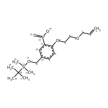 C=CCOCCOc1ccc(CO[Si](C)(C)C(C)(C)C)cc1[N+](=O)[O-]